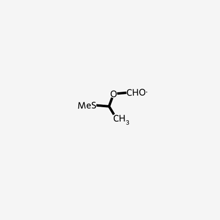 CSC(C)O[C]=O